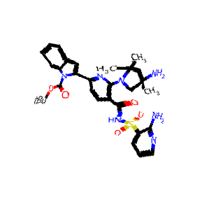 CC(C)(C)OC(=O)n1c(-c2ccc(C(=O)NS(=O)(=O)c3cccnc3N)c(N3C[C@@](C)(N)CC3(C)C)n2)cc2ccccc21